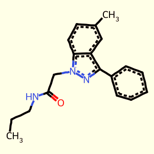 CCCNC(=O)Cn1nc(-c2ccccc2)c2cc(C)ccc21